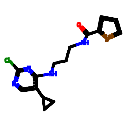 O=C(NCCCNc1nc(Cl)ncc1C1CC1)c1cccs1